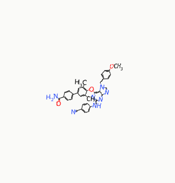 COc1ccc(Cn2cnc3nc(Nc4ccc(C#N)cc4)nc(Oc4c(C)cc(-c5ccc(C(N)=O)cc5)cc4C)c32)cc1